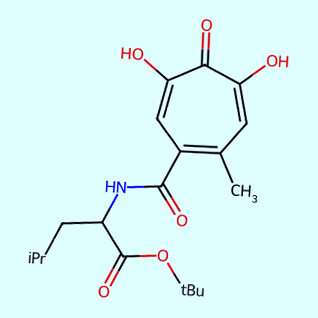 Cc1cc(O)c(=O)c(O)cc1C(=O)NC(CC(C)C)C(=O)OC(C)(C)C